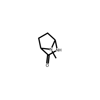 CN1C2CCC1C(=O)N2